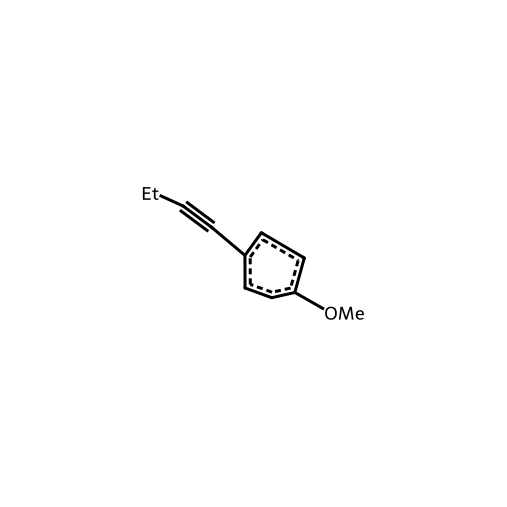 CCC#Cc1ccc(OC)cc1